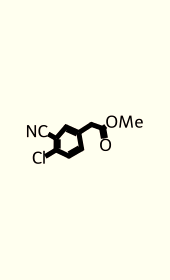 COC(=O)Cc1ccc(Cl)c(C#N)c1